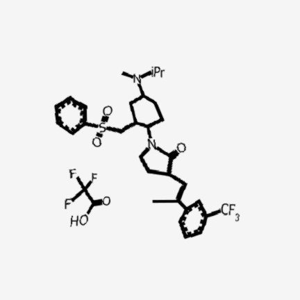 C/C(=C\C1CCN(C2CCC(N(C)C(C)C)CC2CS(=O)(=O)c2ccccc2)C1=O)c1cccc(C(F)(F)F)c1.O=C(O)C(F)(F)F